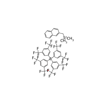 C[S+](C)Cc1ccc2ccccc2c1.FC(F)(F)c1cc([B-](c2cc(C(F)(F)F)cc(C(F)(F)F)c2)(c2cc(C(F)(F)F)cc(C(F)(F)F)c2)c2cc(C(F)(F)F)cc(C(F)(F)F)c2)cc(C(F)(F)F)c1